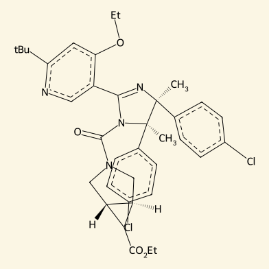 CCOC(=O)C1[C@@H]2CN(C(=O)N3C(c4cnc(C(C)(C)C)cc4OCC)=N[C@@](C)(c4ccc(Cl)cc4)[C@@]3(C)c3ccc(Cl)cc3)C[C@@H]12